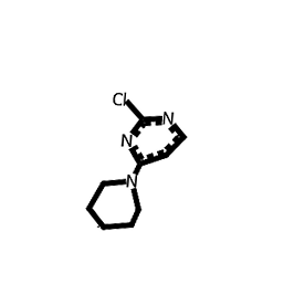 Clc1nccc(N2CC[CH]CC2)n1